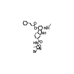 CCCNc1ccc(OC(=O)/C=C/c2ccccc2)c2c3c([nH]c12)C=C(C(=O)Nc1onc(Br)c1C)C=CC3